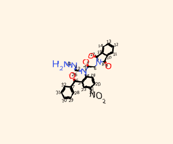 NN=CN(C(=O)CN1C(=O)c2ccccc2C1=O)c1ccc([N+](=O)[O-])cc1C(=O)c1ccccc1